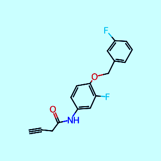 C#CCC(=O)Nc1ccc(OCc2cccc(F)c2)c(F)c1